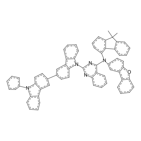 CC1(C)c2ccccc2-c2c(N(c3ccc4oc5ccccc5c4c3)c3nc(-n4c5ccccc5c5cc(-c6ccc7c(c6)c6ccccc6n7-c6ccccc6)ccc54)nc4ccccc34)cccc21